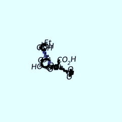 CC[C@H](O)[C@@H](C)[C@H]1O[C@@H]1CC(C)(O)/C=C/C=C(\C)[C@H]1OC(=O)C[C@H](O)CC[C@@](C)(OC)[C@@H](OC(=O)N2CCN(CCCCCCN3C(=O)C=CC3=O)C(CCC(=O)O)C2)/C=C/[C@@H]1C